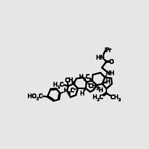 C=C(C)[C@@H]1CC[C@]2(NCC(=O)NC(C)C)CC[C@]3(C)[C@H](CC[C@@H]4[C@@]5(C)CC[C@H](c6ccc(C(=O)O)cc6)C(C)(C)[C@@H]5CC[C@]43C)[C@@H]12